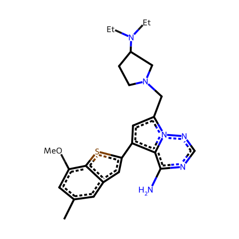 CCN(CC)C1CCN(Cc2cc(-c3cc4cc(C)cc(OC)c4s3)c3c(N)ncnn23)C1